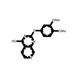 COc1ccc(Oc2nc(O)c3ccncc3n2)cc1OC